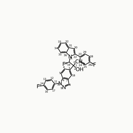 CC(O)(c1ccc2c(cnn2-c2ccc(F)cc2)c1)C(F)n1c(-c2ccc(F)cc2)cc2ccccc21